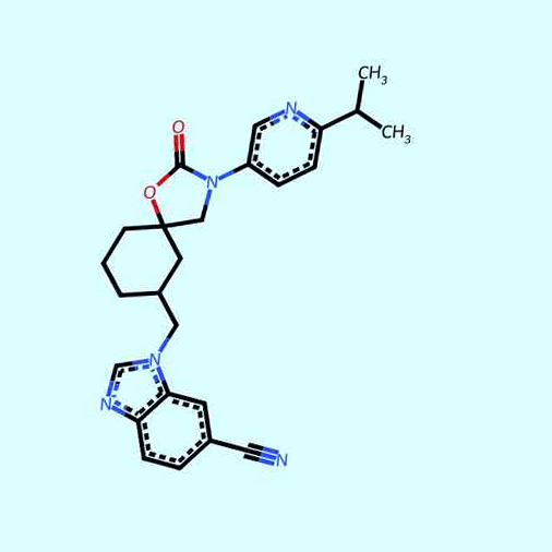 CC(C)c1ccc(N2CC3(CCCC(Cn4cnc5ccc(C#N)cc54)C3)OC2=O)cn1